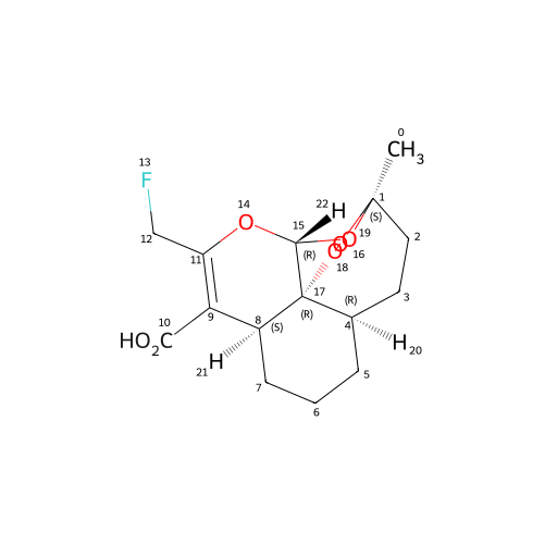 C[C@]12CC[C@H]3CCC[C@H]4C(C(=O)O)=C(CF)O[C@H](O1)[C@@]34OO2